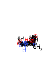 CCOC(=O)c1cnc(Nc2cc3cc(-c4cc(C)ncc4O[C@H]4C[C@H]5COC[C@@H](C4)N5C(=O)O)ccn3n2)cn1